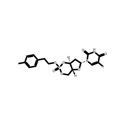 Cc1ccc(CCOP2(=O)OC[C@H]3O[C@@H](n4cc(F)c(=O)[nH]c4=O)C[C@@H]3O2)cc1